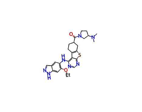 CCOc1cc2[nH]ncc2cc1Nc1ncnc2sc3c(c12)CCC(C(=O)N1CCC(N(C)C)C1)C3